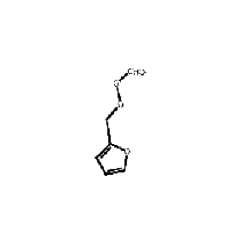 O=[C]OOCc1ccco1